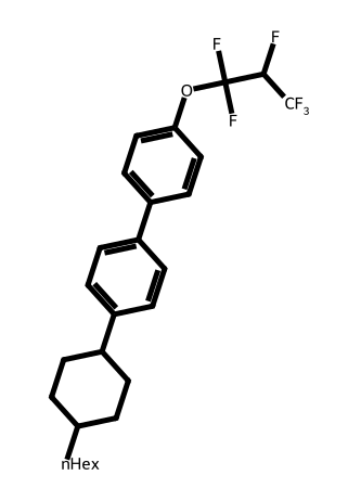 CCCCCCC1CCC(c2ccc(-c3ccc(OC(F)(F)C(F)C(F)(F)F)cc3)cc2)CC1